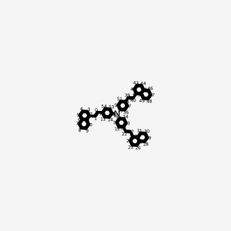 C(=C\c1cccc2ccccc12)/c1ccc(N(c2ccc(/C=C/c3cccc4ccccc34)cc2)c2ccc(/C=C/c3cccc4ccccc34)cc2)cc1